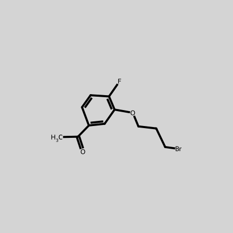 CC(=O)c1ccc(F)c(OCCCBr)c1